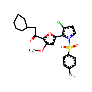 COc1cc(-c2c(Cl)ccn2S(=O)(=O)c2ccc(C)cc2)oc1C(=O)CC1CCCCC1